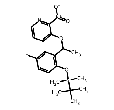 CC(Oc1cccnc1[N+](=O)[O-])c1cc(F)ccc1O[Si](C)(C)C(C)(C)C